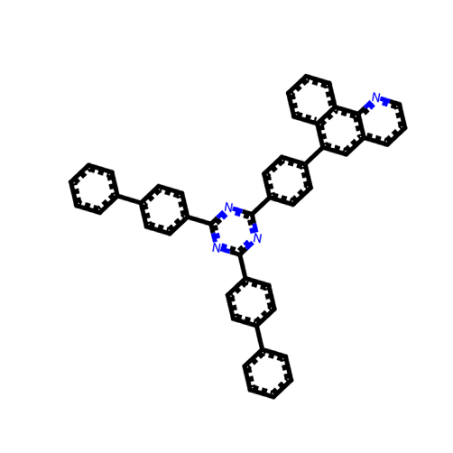 c1ccc(-c2ccc(-c3nc(-c4ccc(-c5ccccc5)cc4)nc(-c4ccc(-c5cc6cccnc6c6ccccc56)cc4)n3)cc2)cc1